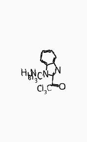 Cn1c(C(=O)C(Cl)(Cl)Cl)nc2ccccc21.N